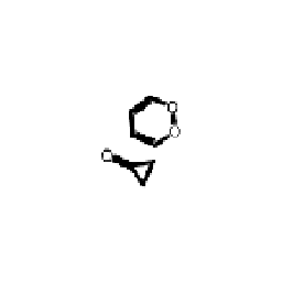 C1=COOC=C1.O=C1CC1